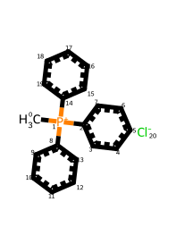 C[P+](c1ccccc1)(c1ccccc1)c1ccccc1.[Cl-]